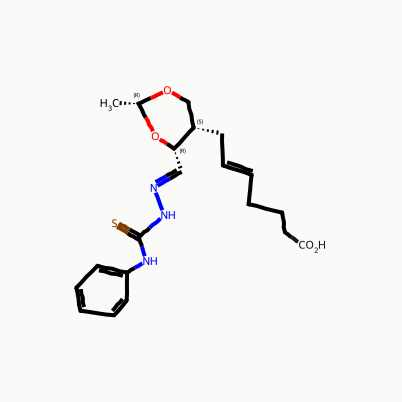 C[C@@H]1OC[C@H](CC=CCCCC(=O)O)[C@H](C=NNC(=S)Nc2ccccc2)O1